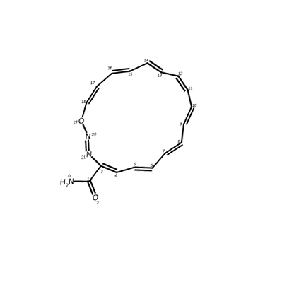 NC(=O)C1=C/C=C/C=C/C=C/C=C\C=C\C=C\C=C/O\N=N\1